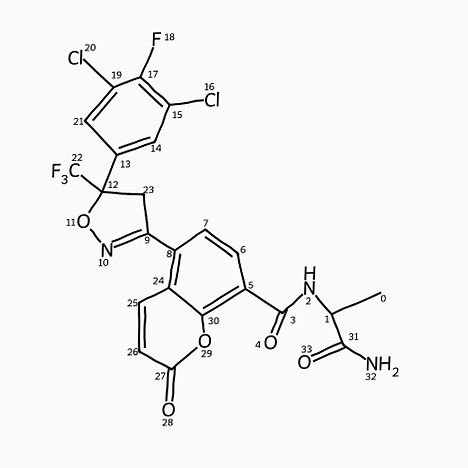 CC(NC(=O)c1ccc(C2=NOC(c3cc(Cl)c(F)c(Cl)c3)(C(F)(F)F)C2)c2ccc(=O)oc12)C(N)=O